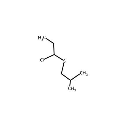 CCC(Cl)SCC(C)C